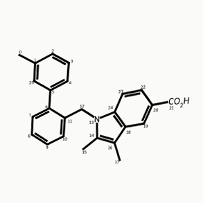 Cc1cccc(-c2ccccc2Cn2c(C)c(C)c3cc(C(=O)O)ccc32)c1